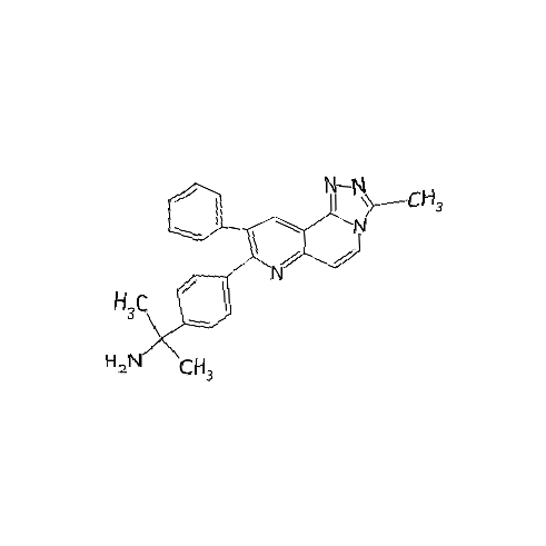 Cc1nnc2c3cc(-c4ccccc4)c(-c4ccc(C(C)(C)N)cc4)nc3ccn12